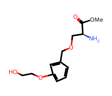 COC(=O)[C@@H](N)COCc1cccc(OCCO)c1